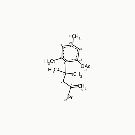 C=C(CC(C)(C)c1c(C)cc(C)cc1OC(C)=O)C(C)C